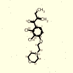 C=C(CC)C(=O)c1ccc(OCCN2CCOCC2)c(Cl)c1Cl